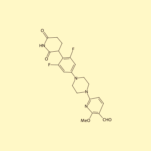 COc1nc(N2CCN(c3cc(F)c(C4CCC(=O)NC4=O)c(F)c3)CC2)ccc1C=O